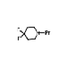 CC(C)N1CCC(F)(F)CC1